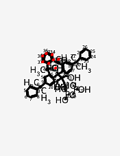 CC(C)(c1ccccc1)c1ccc(C(O)(c2ccc(C(C)(C)c3ccccc3)cc2C(C)(C)c2ccccc2)C(CO)(CO)CO)c(C(C)(C)c2ccccc2)c1.OP(O)OP(O)O